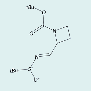 CC(C)(C)OC(=O)N1CCC1/C=N/[S+]([O-])C(C)(C)C